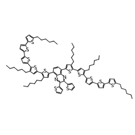 CCCCCCc1ccc(-c2ccc(-c3ccc(-c4sc(-c5sc(-c6ccc(-c7cc(CCCCCC)c(-c8cc(CCCCCC)c(-c9ccc(-c%10ccc(-c%11ccc(CCCCCC)s%11)s%10)s9)s8)s7)c7nc(-c8cccs8)c(-c8cccs8)nc67)cc5CCCCCC)cc4CCCCCC)s3)s2)s1